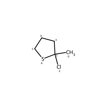 CC1(Cl)CCCS1